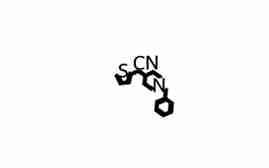 N#CC(c1cccs1)C1CCN(Cc2ccccc2)CC1